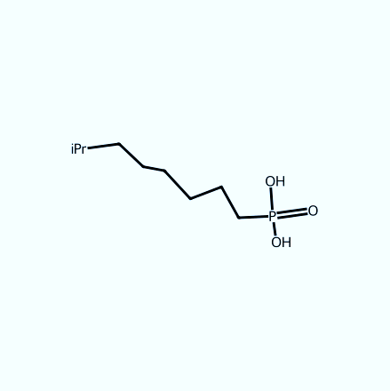 CC(C)CCCCCCP(=O)(O)O